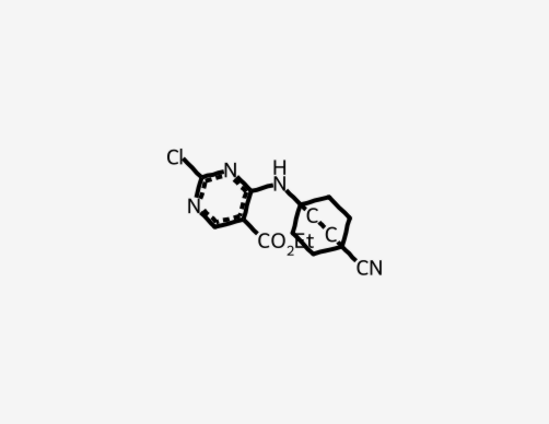 CCOC(=O)c1cnc(Cl)nc1NC12CCC(C#N)(CC1)CC2